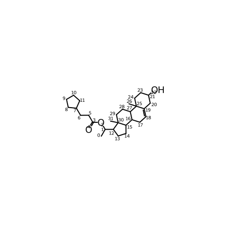 CC(OC(=O)CCC1CCCC1)C1CCC2C3CC=C4CC(O)CCC4(C)C3CCC12C